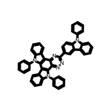 c1ccc(-n2c3ccccc3c3cc(-c4nnc5c(n4)c4c6ccccc6n(-c6ccccc6)c4c4c6ccccc6n(-c6ccccc6)c54)ccc32)cc1